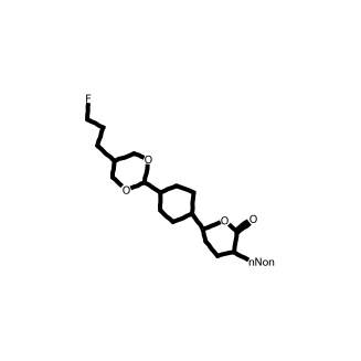 CCCCCCCCCC1CCC(C2CCC(C3OCC(CCCF)CO3)CC2)OC1=O